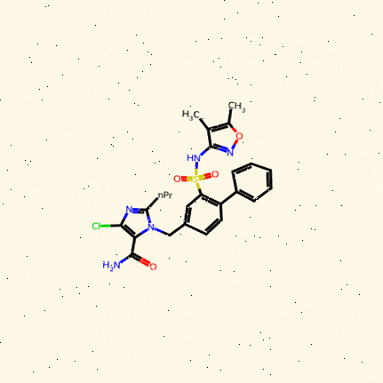 CCCc1nc(Cl)c(C(N)=O)n1Cc1ccc(-c2ccccc2)c(S(=O)(=O)Nc2noc(C)c2C)c1